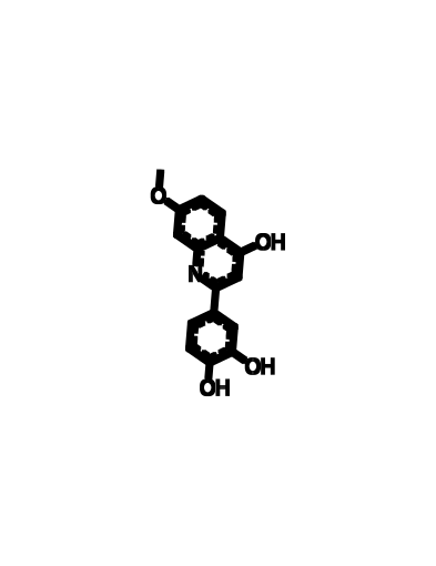 COc1ccc2c(O)cc(-c3ccc(O)c(O)c3)nc2c1